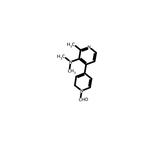 Cc1nccc(C2=CCN(C=O)C=C2)c1N(C)C